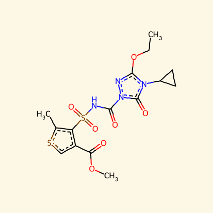 CCOc1nn(C(=O)NS(=O)(=O)c2c(C(=O)OC)csc2C)c(=O)n1C1CC1